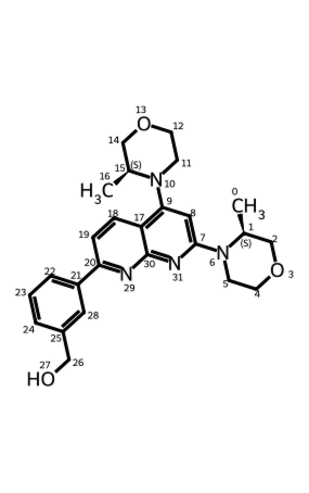 C[C@H]1COCCN1c1cc(N2CCOC[C@@H]2C)c2ccc(-c3cccc(CO)c3)nc2n1